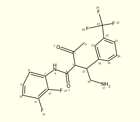 CC(=O)C(C(=O)Nc1cccc(F)c1F)C(CN)c1cccc(C(F)(F)F)c1